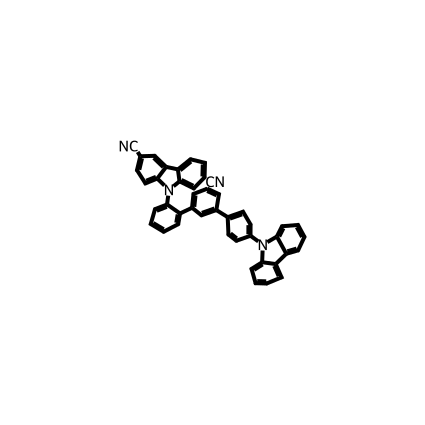 N#Cc1cc(-c2ccc(-n3c4ccccc4c4ccccc43)cc2)cc(-c2ccccc2-n2c3ccccc3c3cc(C#N)ccc32)c1